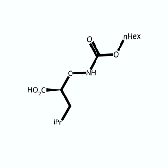 CCCCCCOC(=O)NO[C@@H](CC(C)C)C(=O)O